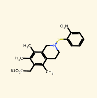 CCOC(=O)Cc1c(C)c(C)c2c(c1C)CCN(Sc1ccccc1[N+](=O)[O-])C2